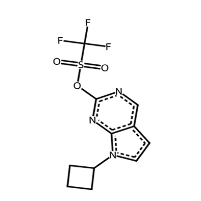 O=S(=O)(Oc1ncc2ccn(C3CCC3)c2n1)C(F)(F)F